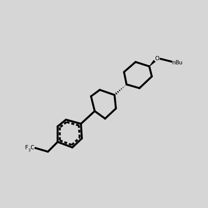 CCCCO[C@H]1CC[C@H](C2CCC(c3ccc(CC(F)(F)F)cc3)CC2)CC1